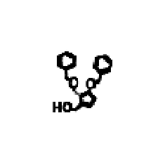 OCC1=CCC(OCc2ccccc2)[C@H]1COCc1ccccc1